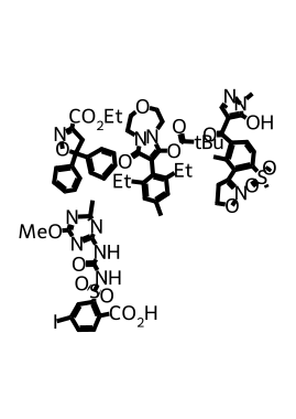 CCOC(=O)C1=NOC(c2ccccc2)(c2ccccc2)C1.CCc1cc(C)cc(CC)c1-c1c(OC(=O)C(C)(C)C)n2n(c1=O)CCOCC2.COc1nc(C)nc(NC(=O)NS(=O)(=O)c2cc(I)ccc2C(=O)O)n1.Cc1c(C(=O)c2cnn(C)c2O)ccc(S(C)(=O)=O)c1C1=NOCC1